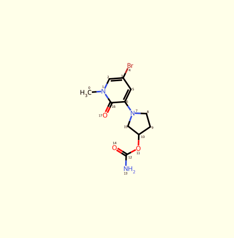 Cn1cc(Br)cc(N2CCC(OC(N)=O)C2)c1=O